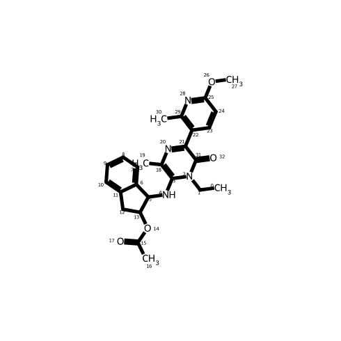 CCn1c(NC2c3ccccc3CC2OC(C)=O)c(C)nc(-c2ccc(OC)nc2C)c1=O